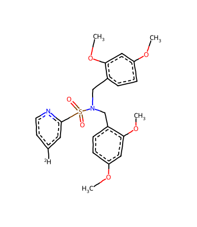 [2H]c1ccnc(S(=O)(=O)N(Cc2ccc(OC)cc2OC)Cc2ccc(OC)cc2OC)c1